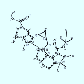 COC(=O)c1cc(F)c2c(c1)nc(-c1cc3ccc4c(c3n1CC1CC1)N(C(=O)OC(C)(C)C)C(=O)C4(C)C)n2C